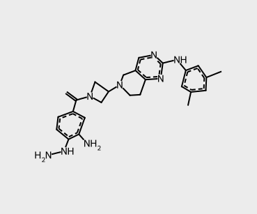 C=C(c1ccc(NN)c(N)c1)N1CC(N2CCc3nc(Nc4cc(C)cc(C)c4)ncc3C2)C1